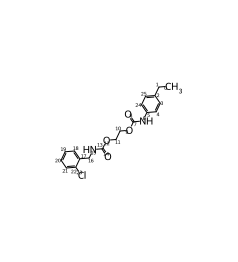 CCc1ccc(NC(=O)OCCOC(=O)NCc2ccccc2Cl)cc1